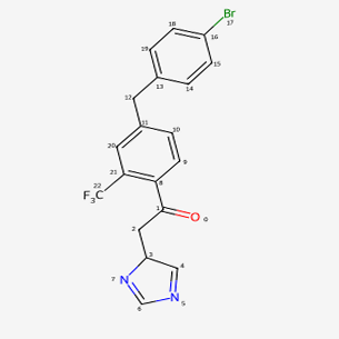 O=C(CC1C=NC=N1)c1ccc(Cc2ccc(Br)cc2)cc1C(F)(F)F